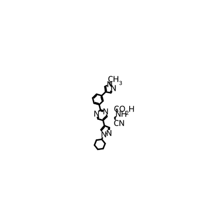 Cn1cc(-c2cccc(-c3ncc(-c4cnn(C5CCCCC5)c4)cn3)c2)cn1.N#CCNC(=O)O